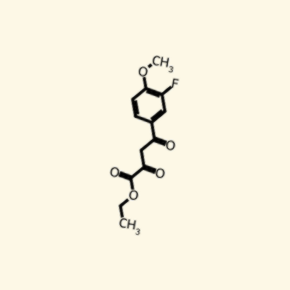 CCOC(=O)C(=O)CC(=O)c1ccc(OC)c(F)c1